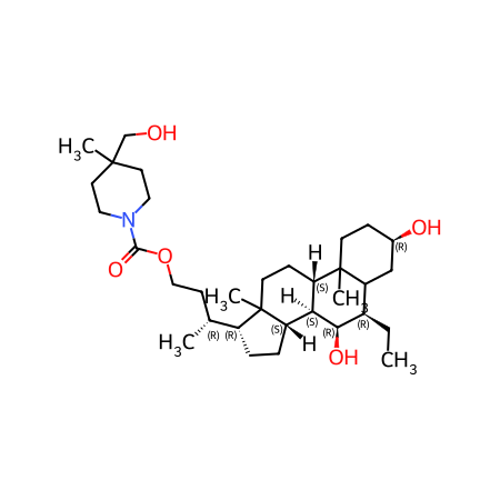 CC[C@@H]1C2C[C@H](O)CCC2(C)[C@H]2CCC3(C)[C@@H]([C@H](C)CCOC(=O)N4CCC(C)(CO)CC4)CC[C@H]3[C@@H]2[C@@H]1O